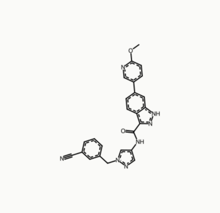 COc1ccc(-c2ccc3c(C(=O)Nc4cnn(Cc5cccc(C#N)c5)c4)n[nH]c3c2)cn1